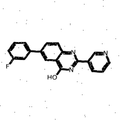 Oc1nc(-c2cccnc2)nc2ccc(-c3cccc(F)c3)cc12